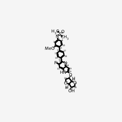 COc1cc(N=S(C)(C)=O)ccc1-c1ccc(-c2nc3cc(O[C@@H]4CO[C@H]5[C@@H]4OC[C@H]5O)[nH]c3cc2F)cc1